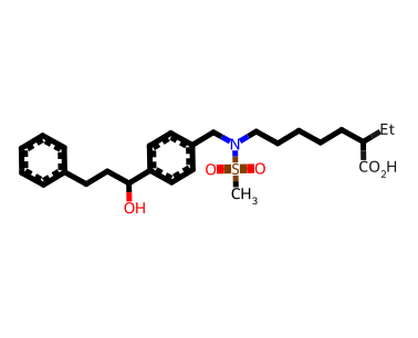 CCC(CCCCCN(Cc1ccc(C(O)CCc2ccccc2)cc1)S(C)(=O)=O)C(=O)O